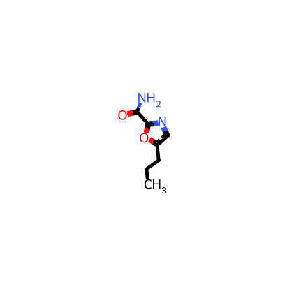 CCCc1cnc(C(N)=O)o1